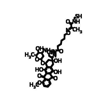 CC/C(=N\NC(=O)CCCCCO/N=C(\C)C(=O)NCS)[C@]1(O)Cc2c(O)c3c(c(O)c2[C@@H](OC2CC(N)C(O)[C@H](C)O2)C1)C(=O)c1c(OC)cccc1C3=O